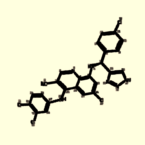 N#Cc1cnc2c(N[C@@H](c3ccc(Cl)cc3)c3c[nH]nn3)cc(Cl)cc2c1Nc1ccc(Cl)c(Cl)c1